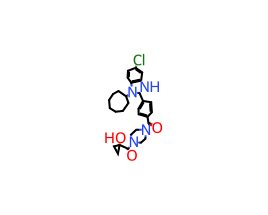 O=C(c1ccc(C2Nc3cc(Cl)ccc3N2C2CCCCCCC2)cc1)N1CCN(C(=O)C2(O)CC2)CC1